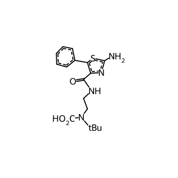 CC(C)(C)N(CCNC(=O)c1nc(N)sc1-c1ccccc1)C(=O)O